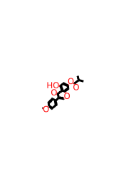 COc1ccc(-c2coc3cc(OC(=O)C(C)C)cc(O)c3c2=O)cc1